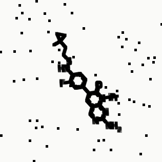 CC(C)n1c(=O)c(-c2ccc(NSCCC3(C)CC3)c(F)c2)cc2cnc(N)nc21